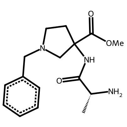 COC(=O)C1(NC(=O)[C@@H](C)N)CCN(Cc2ccccc2)C1